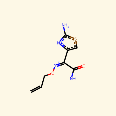 C=CCO/N=C(\C([NH])=O)c1csc(N)n1